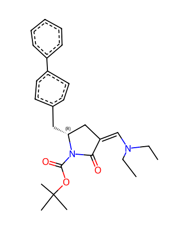 CCN(C=C1C[C@@H](Cc2ccc(-c3ccccc3)cc2)N(C(=O)OC(C)(C)C)C1=O)CC